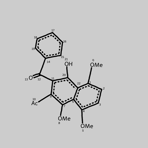 COc1ccc(OC)c2c(OC)c(C(C)=O)c(C(=O)c3ccccc3)c(O)c12